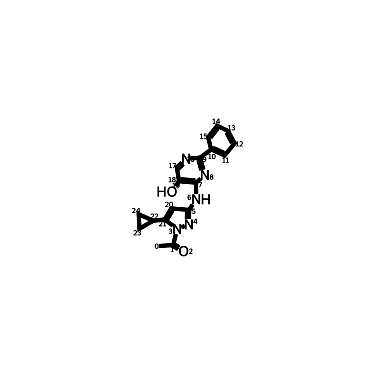 CC(=O)n1nc(Nc2nc(-c3ccccc3)ncc2O)cc1C1CC1